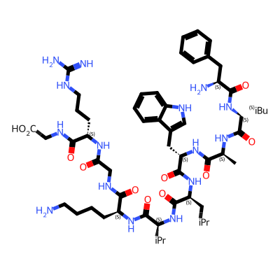 CC[C@H](C)[C@H](NC(=O)[C@@H](N)Cc1ccccc1)C(=O)N[C@@H](C)C(=O)N[C@@H](Cc1c[nH]c2ccccc12)C(=O)N[C@@H](CC(C)C)C(=O)N[C@H](C(=O)N[C@@H](CCCCN)C(=O)NCC(=O)N[C@@H](CCCNC(=N)N)C(=O)NCC(=O)O)C(C)C